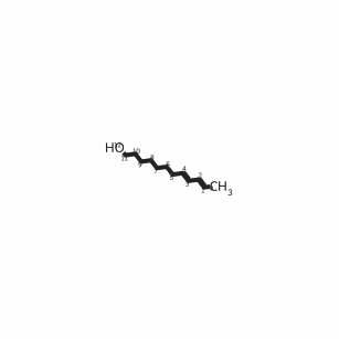 CC=CC=CCCCCCCCO